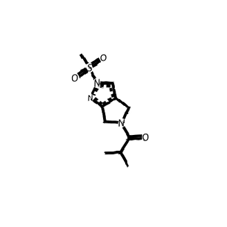 CC(C)C(=O)N1Cc2cn(S(C)(=O)=O)nc2C1